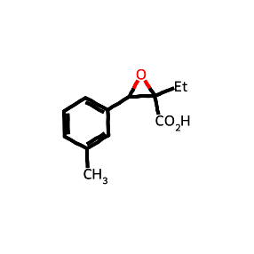 CCC1(C(=O)O)OC1c1cccc(C)c1